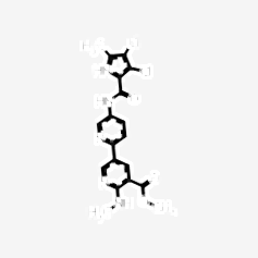 CNc1ncc(-c2ccc(NC(=O)c3[nH]c(C)c(Cl)c3Cl)cn2)cc1C(=O)OC